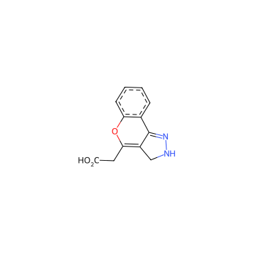 O=C(O)CC1=C2CNN=C2c2ccccc2O1